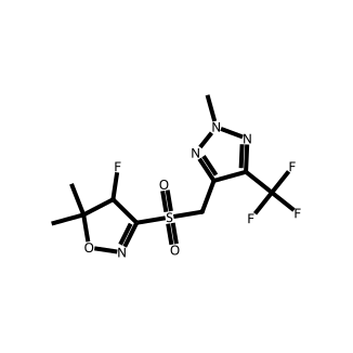 Cn1nc(CS(=O)(=O)C2=NOC(C)(C)C2F)c(C(F)(F)F)n1